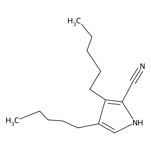 CCCCCc1c[nH]c(C#N)c1CCCCC